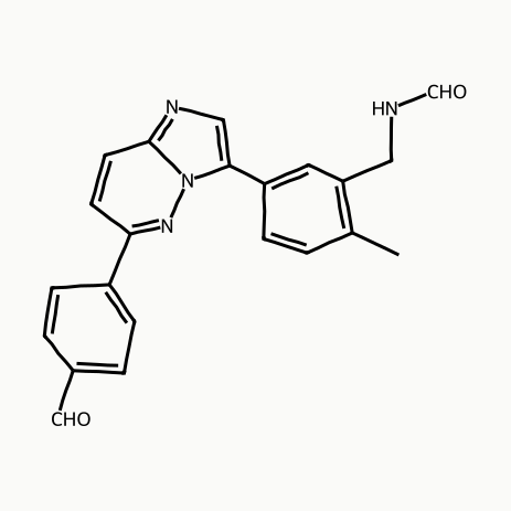 Cc1ccc(-c2cnc3ccc(-c4ccc(C=O)cc4)nn23)cc1CNC=O